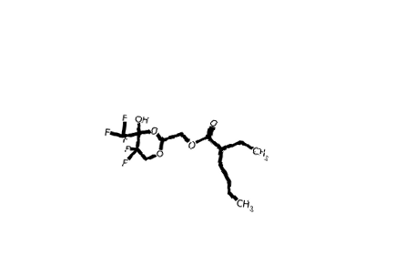 CCCCC(CC)C(=O)OCC1OCC(F)(F)C(O)(C(F)(F)F)O1